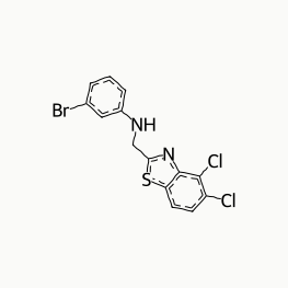 Clc1ccc2sc(CNc3cccc(Br)c3)nc2c1Cl